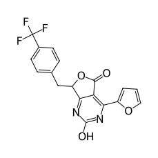 O=C1OC(Cc2ccc(C(F)(F)F)cc2)c2nc(O)nc(-c3ccco3)c21